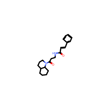 O=C(/C=C/c1ccccc1)NCCC(=O)N1CCCC2CCCCC21